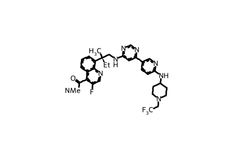 CC[C@@](C)(CNc1cc(-c2ccc(NC3CCN(CC(F)(F)F)CC3)nc2)ncn1)c1cccc2c(C(=O)NC)c(F)cnc12